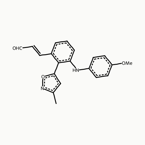 COc1ccc(Nc2cccc(C=CC=O)c2-c2cc(C)no2)cc1